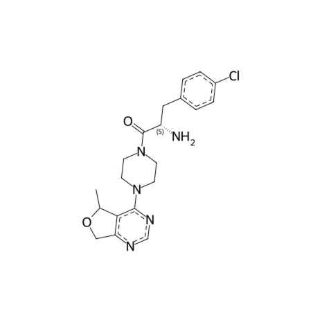 CC1OCc2ncnc(N3CCN(C(=O)[C@@H](N)Cc4ccc(Cl)cc4)CC3)c21